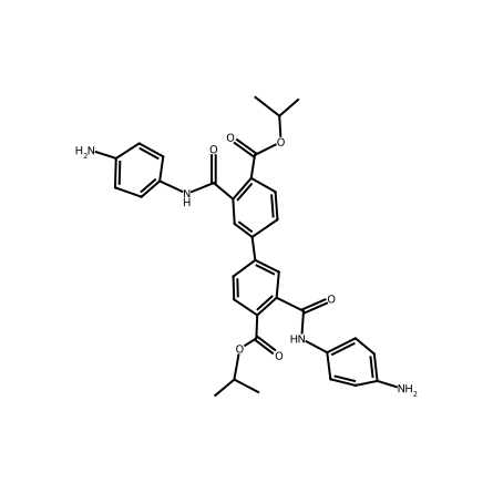 CC(C)OC(=O)c1ccc(-c2ccc(C(=O)OC(C)C)c(C(=O)Nc3ccc(N)cc3)c2)cc1C(=O)Nc1ccc(N)cc1